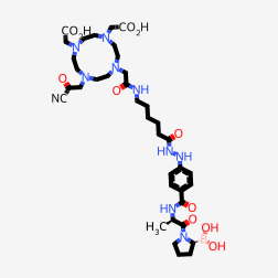 C[C@@H](NC(=O)c1ccc(NNC(=O)CCCCCNC(=O)CN2CCN(CC(=O)O)CCN(CC(=O)O)CCN(CC(=O)C#N)CC2)cc1)C(=O)N1CCC[C@H]1B(O)O